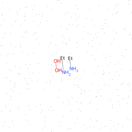 CCN.CCN.OO